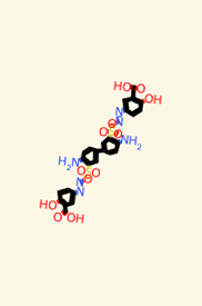 Nc1ccc(-c2ccc(N)c(S(=O)(=O)ON=Nc3ccc(O)c(C(=O)O)c3)c2)cc1S(=O)(=O)ON=Nc1ccc(O)c(C(=O)O)c1